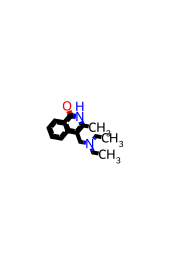 CCN(CC)Cc1c(C)[nH]c(=O)c2ccccc12